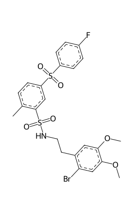 COc1cc(Br)c(CCNS(=O)(=O)c2cc(S(=O)(=O)c3ccc(F)cc3)ccc2C)cc1OC